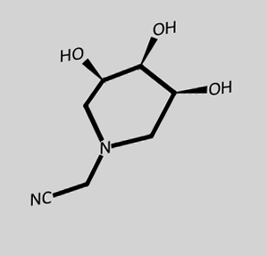 N#CCN1C[C@@H](O)[C@@H](O)[C@@H](O)C1